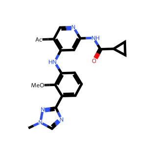 COc1c(Nc2cc(NC(=O)C3CC3)ncc2C(C)=O)cccc1-c1ncn(C)n1